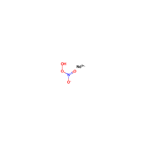 O=[N+]([O-])OO.[Nd+3]